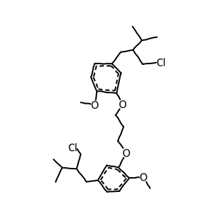 COc1ccc(CC(CCl)C(C)C)cc1OCCCOc1cc(CC(CCl)C(C)C)ccc1OC